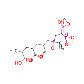 CC(CC(CC(C=O)CP(C)(=O)CC([PH]12OC(O1)O2)[PH]12OC(O1)O2)C(=O)O)C(=O)O